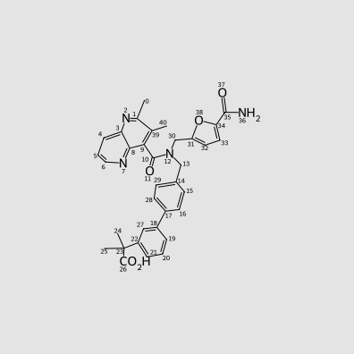 Cc1nc2cccnc2c(C(=O)N(Cc2ccc(-c3cccc(C(C)(C)C(=O)O)c3)cc2)Cc2ccc(C(N)=O)o2)c1C